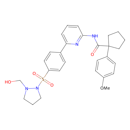 COc1ccc(C2(C(=O)Nc3cccc(-c4ccc(S(=O)(=O)N5CCCN5CO)cc4)n3)CCCC2)cc1